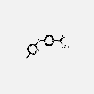 Cc1ccc(Sc2ccc(C(=O)O)cc2)nc1